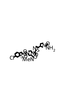 CNC(=O)C1CN(S(=O)(=O)c2cc3ccc(Cl)cc3s2)CCN1C(=O)c1ncc(C2CCN(C(N)=O)C2)s1